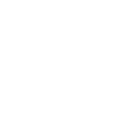 Cc1onc(-c2ccc(-c3ccc(CC(=O)O)cc3)nc2)c1NC(=O)OCCc1ccccc1F